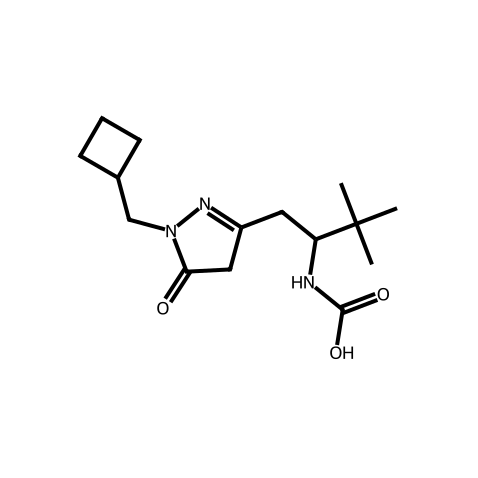 CC(C)(C)C(CC1=NN(CC2CCC2)C(=O)C1)NC(=O)O